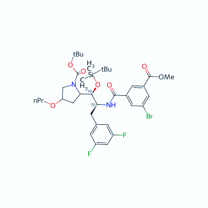 CCCOC1CC([C@@H](O[Si](C)(C)C(C)(C)C)[C@H](Cc2cc(F)cc(F)c2)NC(=O)c2cc(Br)cc(C(=O)OC)c2)N(C(=O)OC(C)(C)C)C1